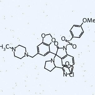 COc1ccc(S(=O)(=O)N2C(=O)C(c3cc(CN4CCN(C)CC4)cc4c3OCO4)(N3CCCC3c3ncco3)c3cc(Cl)ccc32)cc1